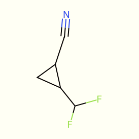 N#CC1CC1C(F)F